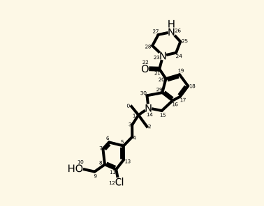 CC(C)(CCc1ccc(CO)c(Cl)c1)N1Cc2cccc(C(=O)N3CCNCC3)c2C1